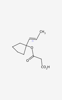 C/C=C/C1(OC(=O)CC(=O)O)CCCC1